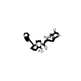 CC1c2ccc(-c3cccnc3)n2CCN1C(=O)c1cc2ncc(Cl)cn2n1